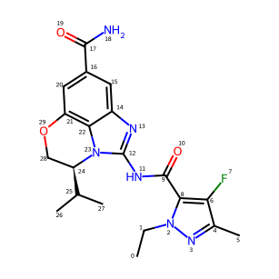 CCn1nc(C)c(F)c1C(=O)Nc1nc2cc(C(N)=O)cc3c2n1[C@@H](C(C)C)CO3